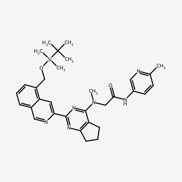 Cc1ccc(NC(=O)CN(C)c2nc(-c3cc4c(CO[Si](C)(C)C(C)(C)C)cccc4cn3)nc3c2CCC3)cn1